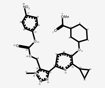 COC(=O)C1CCCC(Oc2ccc(-c3nnn(C)c3COC(=O)Oc3ccc([N+](=O)[O-])cc3)nc2C2CC2)C1